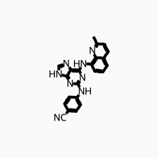 Cc1ccc2cccc(Nc3nc(Nc4ccc(C#N)cc4)nc4[nH]cnc34)c2n1